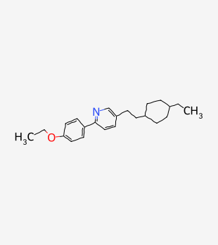 CCOc1ccc(-c2ccc(CCC3CCC(CC)CC3)cn2)cc1